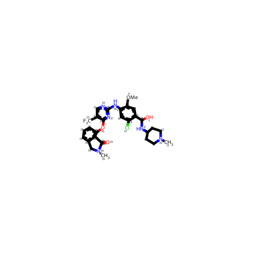 COc1cc(C(O)NC2CCN(C)CC2)c(Cl)cc1Nc1ncc(C(F)(F)F)c(Oc2cccc3c2C(=O)N(C)C3)n1